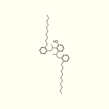 CCCCCCCCCCc1ccccc1CC(C)c1cccc(O)c1C(C)Cc1ccccc1CCCCCCCCCC